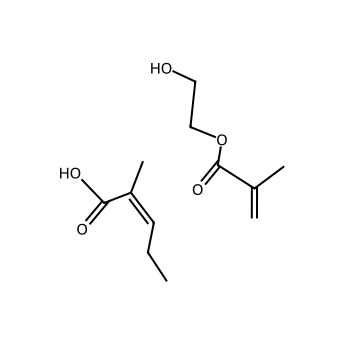 C=C(C)C(=O)OCCO.CCC=C(C)C(=O)O